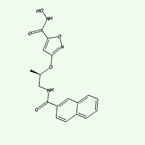 C[C@H](CNC(=O)c1ccc2ccccc2c1)Oc1cc(C(=O)NO)on1